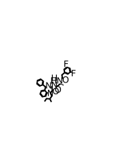 CCC(C)CN1C(=O)C(NC(=O)[C@H](C)NC(=O)Cc2cc(F)cc(F)c2)N=C(c2ccccc2)c2ccccc21